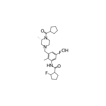 Cc1c(CN2CCN(C(=O)C3CCCC3)[C@@H](C)C2)cc(F)cc1NC(=O)C1CCCC1F.Cl